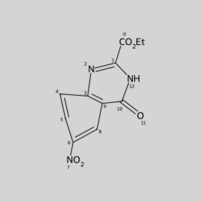 CCOC(=O)c1nc2ccc([N+](=O)[O-])cc2c(=O)[nH]1